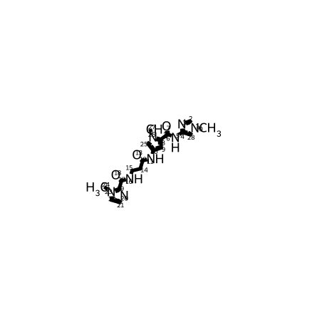 Cn1cnc(NC(=O)c2cc(NC(=O)CCNC(=O)c3nccn3C)cn2C)c1